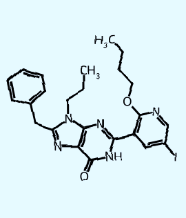 CCCCOc1ncc(I)cc1-c1nc2c(nc(Cc3ccccc3)n2CCC)c(=O)[nH]1